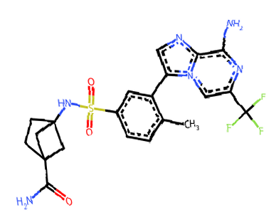 Cc1ccc(S(=O)(=O)NC23CCC(C(N)=O)(C2)C3)cc1-c1cnc2c(N)nc(C(F)(F)F)cn12